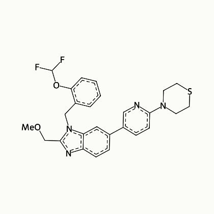 COCc1nc2ccc(-c3ccc(N4CCSCC4)nc3)cc2n1Cc1ccccc1OC(F)F